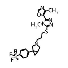 Cc1ncoc1-c1nnc(SCCCN2CC3CC3(c3ccc([SH](F)(F)(F)F)cc3)C2)n1C